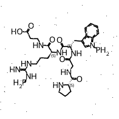 N=C(NP)NCCC[C@H](NC(=O)[C@H](Cc1cn(P)c2ccccc12)NC(=O)CNC(=O)[C@@H]1CCCN1)C(=O)NCCC(=O)O